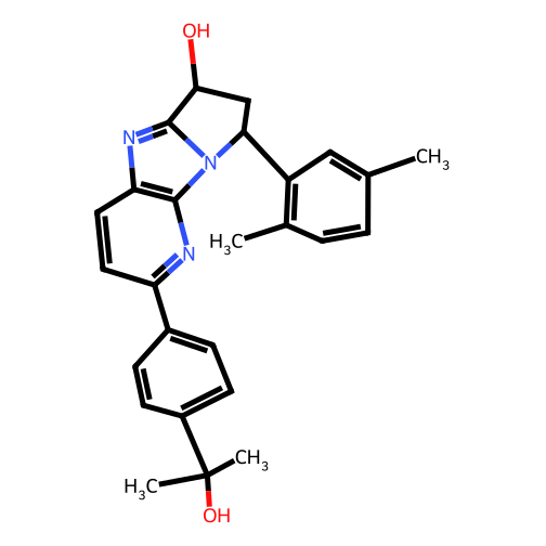 Cc1ccc(C)c(C2CC(O)c3nc4ccc(-c5ccc(C(C)(C)O)cc5)nc4n32)c1